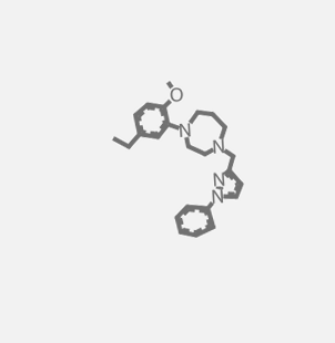 CCc1ccc(OC)c(N2CCCN(Cc3ccn(-c4ccccc4)n3)CC2)c1